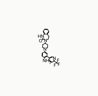 Nc1ccc(N2CCC(N3CCc4ccccc4NC3=O)CC2)cc1-c1ccc(C(F)(F)F)nc1